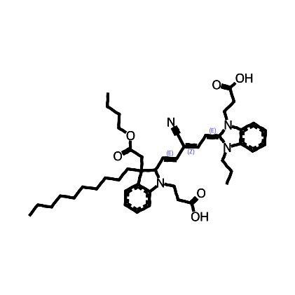 CCCCCCCCCCC1(CC(=O)OCCCC)c2ccccc2N(CCC(=O)O)C1/C=C/C(C#N)=C/C=C1\N(CCC)c2ccccc2N1CCC(=O)O